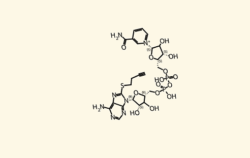 C#CCCSc1nc2c(N)ncnc2n1[C@@H]1O[C@H](COP(=O)(O)OP(=O)(O)OC[C@@H]2O[C@H]([n+]3cccc(C(N)=O)c3)C(O)[C@@H]2O)C(O)[C@@H]1O